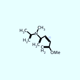 C=C(/C=C\C(=C)N(C)C(=C)C)OC